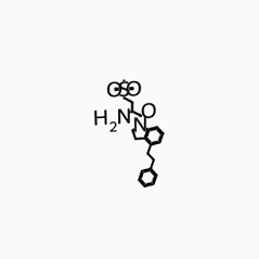 CS(=O)(=O)CCC(N)C(=O)N1CCc2c(CCc3ccccc3)cccc21